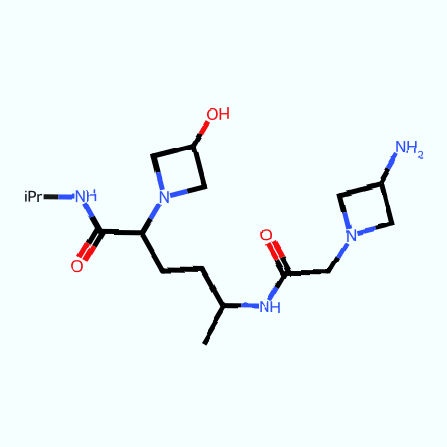 CC(C)NC(=O)C(CCC(C)NC(=O)CN1CC(N)C1)N1CC(O)C1